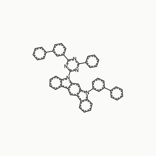 c1ccc(-c2cccc(-c3nc(-c4ccccc4)nc(-n4c5ccccc5c5cc6c7ccccc7n(-c7cccc(-c8ccccc8)c7)c6cc54)n3)c2)cc1